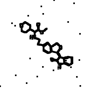 COC(=O)C(NCCc1ccc2c(c1)COC2=C1C(=O)Nc2ccccc21)C1CCOCC1